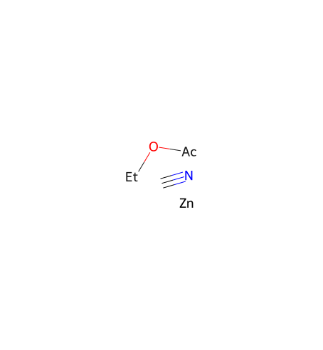 C#N.CCOC(C)=O.[Zn]